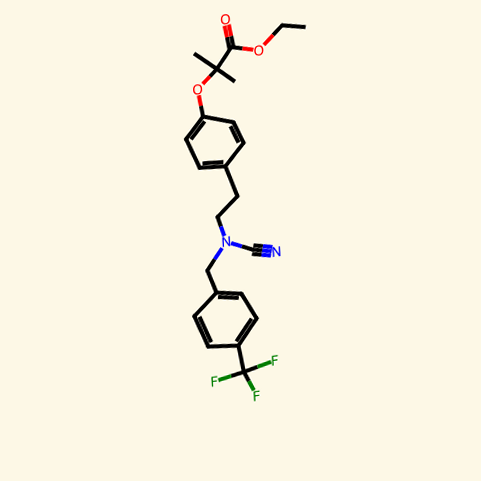 CCOC(=O)C(C)(C)Oc1ccc(CCN(C#N)Cc2ccc(C(F)(F)F)cc2)cc1